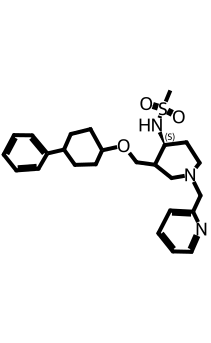 CS(=O)(=O)N[C@H]1CCN(Cc2ccccn2)CC1COC1CCC(c2ccccc2)CC1